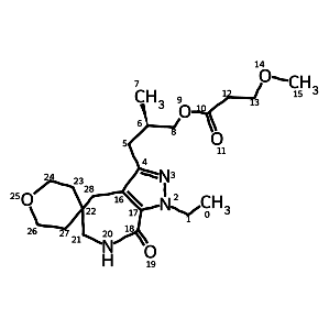 CCn1nc(C[C@@H](C)COC(=O)CCOC)c2c1C(=O)NCC1(CCOCC1)C2